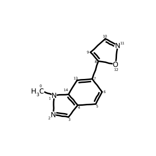 Cn1ncc2ccc(-c3c[c]no3)cc21